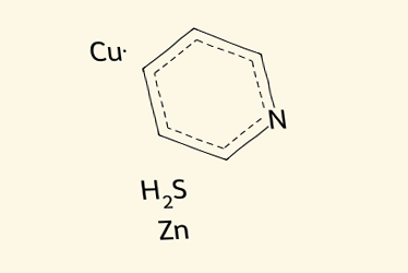 S.[Cu].[Zn].c1ccncc1